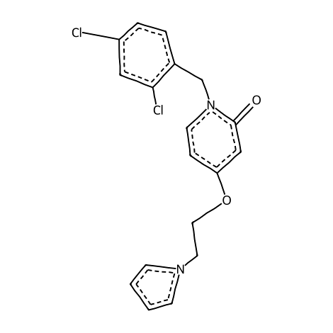 O=c1cc(OCCn2cccc2)ccn1Cc1ccc(Cl)cc1Cl